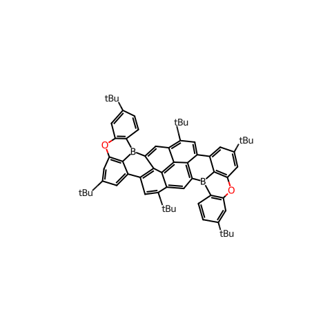 CC(C)(C)c1ccc2c(c1)Oc1cc(C(C)(C)C)cc3c1B2c1cc2c(C(C)(C)C)cc4c5c(cc6c(C(C)(C)C)cc-3c1c6c25)B1c2ccc(C(C)(C)C)cc2Oc2cc(C(C)(C)C)cc-4c21